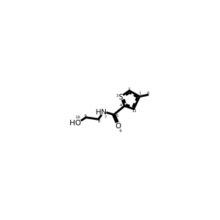 Cc1csc(C(=O)NCCO)c1